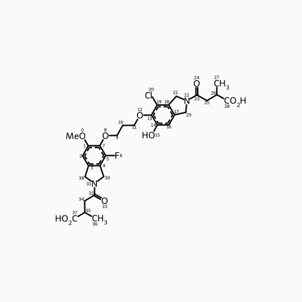 COc1cc2c(c(F)c1OCCCOc1c(O)cc3c(c1Cl)CN(C(=O)CC(C)C(=O)O)C3)CN(C(=O)CC(C)C(=O)O)C2